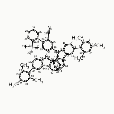 Cc1cc(C)c(-c2ccc3c(c2)c2ccccc2n3-c2cc(C#N)c(-c3ccccc3C(F)(F)F)cc2-n2c3ccccc3c3cc(-c4c(C)cc(C)cc4C)ccc32)c(C)c1